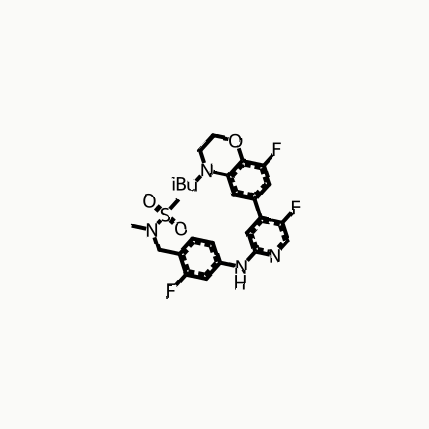 CCC(C)N1CCOc2c(F)cc(-c3cc(Nc4ccc(CN(C)S(C)(=O)=O)c(F)c4)ncc3F)cc21